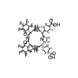 O=C(O)c1ccc(-c2c3nc(c(-c4ccc(C(=O)O)cc4)c4ccc([nH]4)c4c(nc5oc6c(F)c(F)c(F)c(F)c6c5c5ccc2[nH]5)oc2c(F)c(F)c(F)c(F)c24)C=C3)cc1